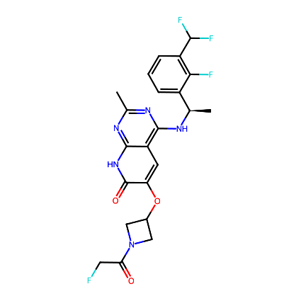 Cc1nc(N[C@H](C)c2cccc(C(F)F)c2F)c2cc(OC3CN(C(=O)CF)C3)c(=O)[nH]c2n1